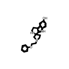 Oc1ccc2[nH]c3c(c2c1)CCNC31CCN(CCOc2ccccc2)C1